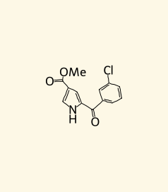 COC(=O)c1c[nH]c(C(=O)c2cccc(Cl)c2)c1